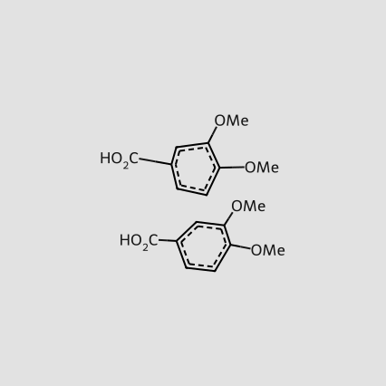 COc1ccc(C(=O)O)cc1OC.COc1ccc(C(=O)O)cc1OC